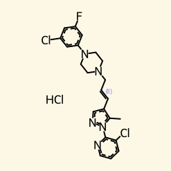 Cc1c(/C=C/CN2CCN(c3cc(F)cc(Cl)c3)CC2)cnn1-c1ncccc1Cl.Cl